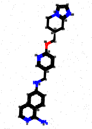 Nc1nccc2cc(NCc3ccc(OC[C@@H]4CCn5ccnc5C4)nc3)ccc12